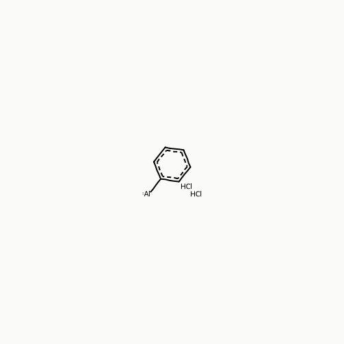 Cl.Cl.[Al][c]1ccccc1